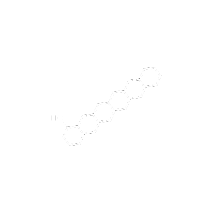 Oc1cccc2cc3cc4cc5cc6ccccc6cc5cc4cc3cc12